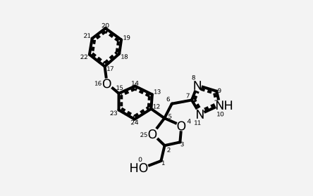 OCC1COC(Cc2nc[nH]n2)(c2ccc(Oc3ccccc3)cc2)O1